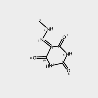 CNN=C1C(=O)NC(=O)NC1=O